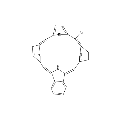 CC(=O)c1c2nc(cc3[nH]c(cc4nc(cc5ccc1[nH]5)C=C4)c1ccccc31)C=C2